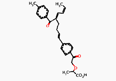 C/C=C\C=C(/CC/C=C/c1ccc(C(=O)CO[C@H](C)C(=O)O)cc1)C(=O)c1ccc(C)cc1